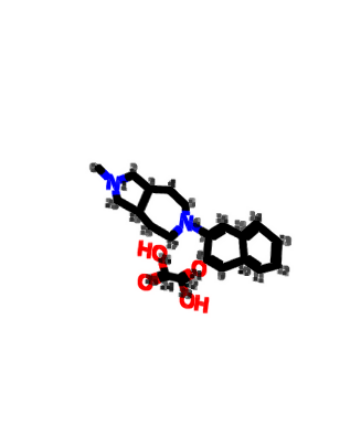 CN1CC2CCN(c3ccc4ccccc4c3)CCC2C1.O=C(O)C(=O)O